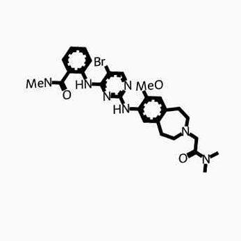 CNC(=O)c1ccccc1Nc1nc(Nc2cc3c(cc2OC)CCN(CC(=O)N(C)C)CC3)ncc1Br